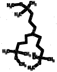 CO[Si](C)(C)CCCN(CCC[Si](C)(C)OC)CCC[Si](C)(C)OC